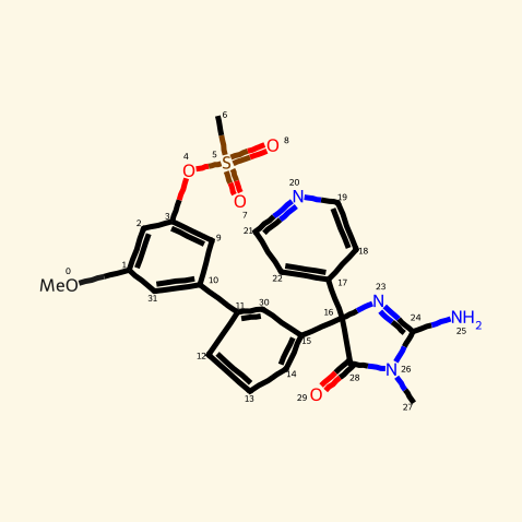 COc1cc(OS(C)(=O)=O)cc(-c2cccc(C3(c4ccncc4)N=C(N)N(C)C3=O)c2)c1